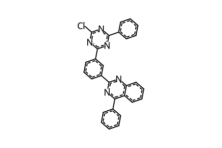 Clc1nc(-c2ccccc2)nc(-c2cccc(-c3nc(-c4ccccc4)c4ccccc4n3)c2)n1